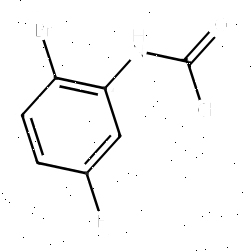 O=C(Cl)Nc1cc(F)ccc1Br